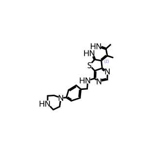 CC(=N)/C(C)=C1\C(=N)Sc2c(NCc3ccc(N4CCNCC4)cc3)ncnc21